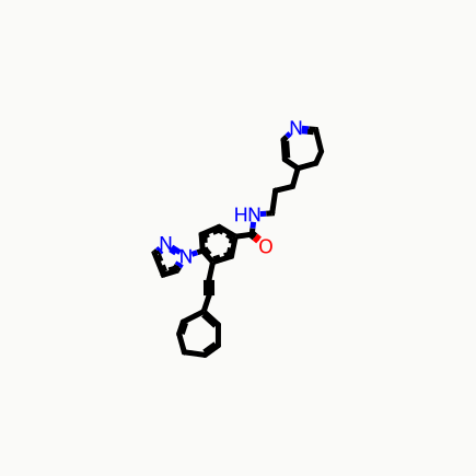 O=C(NCCCC1C=CN=CCC1)c1ccc(-n2cccn2)c(C#CC2=CC=CCC=C2)c1